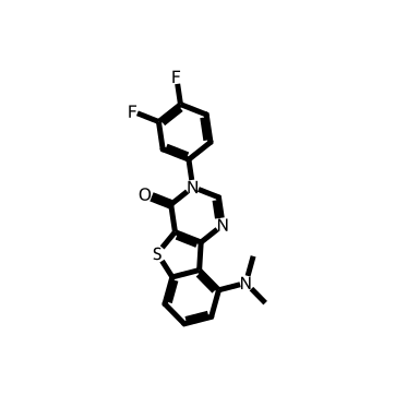 CN(C)c1cccc2sc3c(=O)n(-c4ccc(F)c(F)c4)cnc3c12